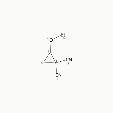 CCOC1CC1(C#N)C#N